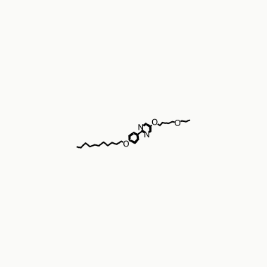 CCCCCCCCCCCOc1ccc(-c2ncc(OCCCCOCCC)cn2)cc1